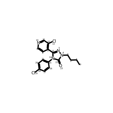 CCCCn1nc(-c2ccncc2Cl)n(-c2ccc(Cl)cc2)c1=O